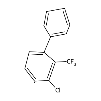 FC(F)(F)c1c(Cl)[c]ccc1-c1ccccc1